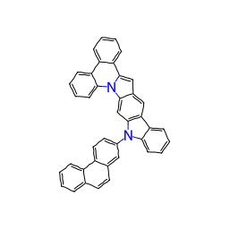 c1ccc2c(c1)ccc1cc(-n3c4ccccc4c4cc5cc6c7ccccc7c7ccccc7n6c5cc43)ccc12